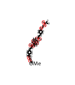 C=C(C)C(=O)OCCOc1ccc(/C=C/C(=O)O[C@@H]2CO[C@@H]3C(OC(=O)/C=C/c4ccc(C(C)(C)OCOCOC)cc4)CO[C@@H]32)cc1